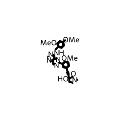 COc1ccc(CNc2ncnc3cnc(-c4cc(C#CC5(O)CCN(C)C5=O)ccc4OC)nc23)c(OC)c1